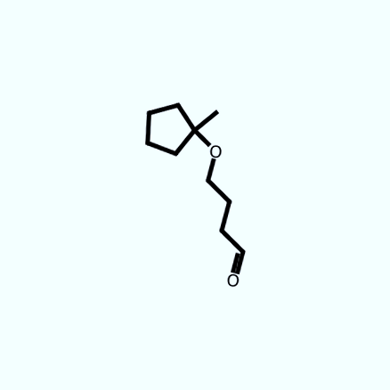 CC1(OCCCC=O)CCCC1